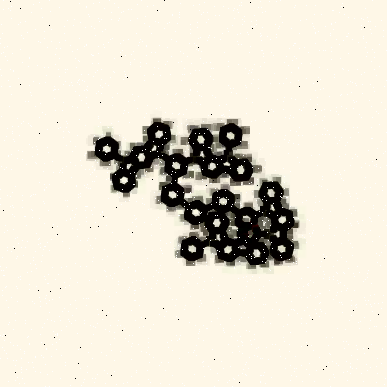 c1ccc(-n2c3ccccc3c3cc4c(cc32)c2ccccc2n4-c2cc(-c3cccc(-c4cccc(-c5cccc(-c6cc(-n7c8ccccc8c8ccc9c(c%10ccccc%10n9-c9ccccc9)c87)cc(-n7c8ccccc8c8ccc9c%10ccccc%10n(-c%10ccccc%10)c9c87)c6)c5)c4)c3)cc(-n3c4ccccc4c4c3ccc3c5ccccc5n(-c5ccccc5)c34)c2)cc1